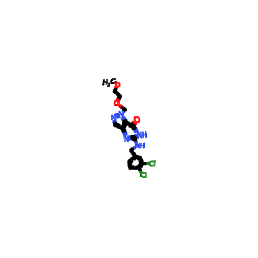 COCCOCn1ncc2nc(NCc3ccc(Cl)c(Cl)c3)[nH]c(=O)c21